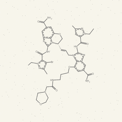 CCn1nc(C)cc1C(=O)Nc1nc2cc(C(N)=O)cc(OCCCNC(=O)CN3CCOCC3)c2n1C/C=C/[C@H]1COc2cc(C(N)=O)cc3nc(NC(=O)c4c(Br)c(C)nn4CC)n1c23